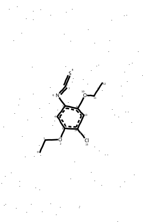 CCOc1cc(N=C=S)c(OCC)cc1Cl